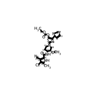 CCOC(=O)Oc1sc(N2CC[C@@H](NC(=O)c3[nH]c(C)c(Cl)c3C#N)[C@@H](OC)C2)nc1-c1ccncn1